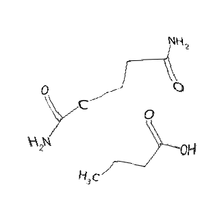 CCCC(=O)O.NC(=O)CCCCC(N)=O